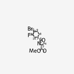 COC(=O)c1coc(-c2ccc(Br)c(F)c2)n1